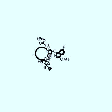 COc1cnc(O[C@@H]2C[C@H]3C(=O)N[C@]4(C(=O)NS(=O)(=O)C5CC5)C[C@H]4/C=C\[C@H](C)CCC[C@@H](C)[C@H](NC(=O)OC(C)(C)C)C(=O)N3C2)c2cc(F)ccc12